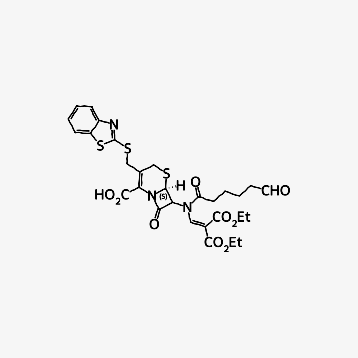 CCOC(=O)C(=CN(C(=O)CCCCC=O)C1C(=O)N2C(C(=O)O)=C(CSc3nc4ccccc4s3)CS[C@@H]12)C(=O)OCC